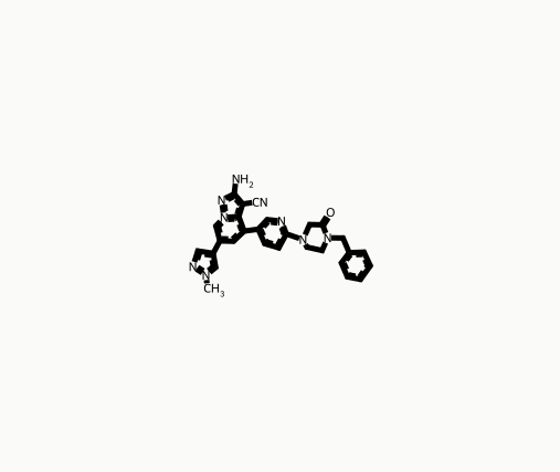 Cn1cc(-c2cc(-c3ccc(N4CCN(Cc5ccccc5)C(=O)C4)nc3)c3c(C#N)c(N)nn3c2)cn1